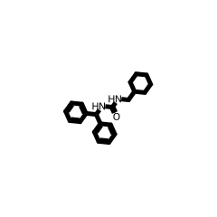 O=C(NCC1CCCCC1)NC(c1ccccc1)c1ccccc1